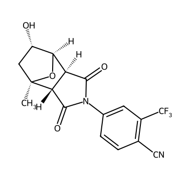 C[C@]12C[C@H](O)[C@H](O1)[C@H]1C(=O)N(c3ccc(C#N)c(C(F)(F)F)c3)C(=O)[C@@H]12